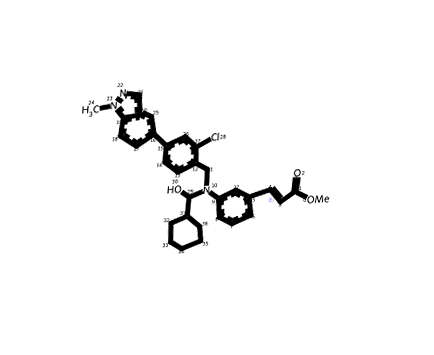 COC(=O)/C=C/c1cccc(N(Cc2ccc(-c3ccc4c(cnn4C)c3)cc2Cl)C(O)C2CCCCC2)c1